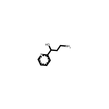 NCCC(O)c1ccccn1